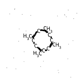 C/C1=C/CCC/C(C)=C/CCC/C(C)=C/CCC/C(C)=C\CCC1